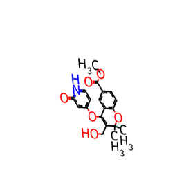 COC(=O)c1ccc2c(c1)C(Oc1cc[nH]c(=O)c1)=C(CO)C(C)(C)O2